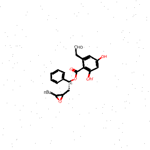 CCCCC1OC1C[C@@H](OC(=O)c1c(O)cc(O)cc1CC=O)c1ccccc1